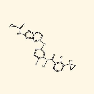 CC(=O)N(C(=O)c1cccc(C2(C#N)CC2)c1Cl)c1cc(Oc2ccc3nc(NC(=O)C4CC4)sc3n2)ccc1F